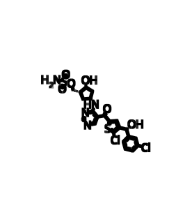 NS(=O)(=O)OC[C@H]1C[C@@H](Nc2ncncc2C(=O)c2cc([C@@H](O)c3cccc(Cl)c3)c(Cl)s2)C[C@@H]1O